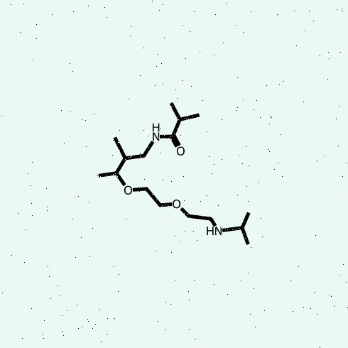 CC(C)NCCOCCOC(C)C(C)CNC(=O)C(C)C